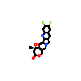 CC[C@@]1(O)CC(=O)OCC2=C1C=C1c3nc4cc(F)c(F)cc4cc3CN1C2